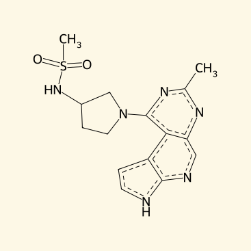 Cc1nc(N2CCC(NS(C)(=O)=O)C2)c2c(cnc3[nH]ccc32)n1